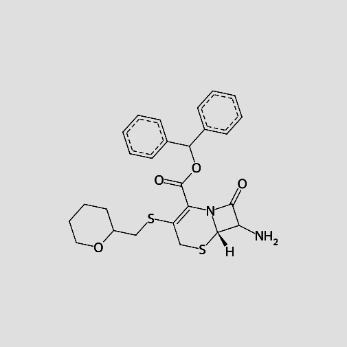 NC1C(=O)N2C(C(=O)OC(c3ccccc3)c3ccccc3)=C(SCC3CCCCO3)CS[C@@H]12